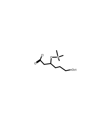 CCCCCCCCCCCC(CC(=O)Cl)O[Si](C)(C)C